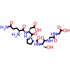 NC(=O)CC[C@H](N)C(=O)N[C@@H](CC(=O)O)C(=O)N1CCC[C@H]1C(=O)N[C@@H](CO)C(=O)NCC(=O)NCC(=O)O